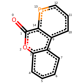 O=c1oc2ccccc2c2cccpc12